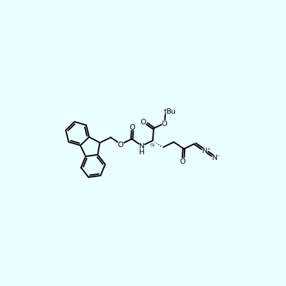 CC(C)(C)OC(=O)[C@H](CCC(=O)C=[N+]=[N-])NC(=O)OCC1c2ccccc2-c2ccccc21